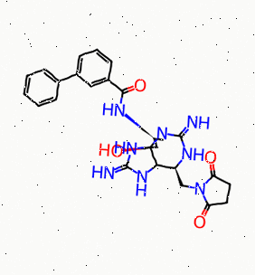 N=C1NC2[C@H](CN3C(=O)CCC3=O)NC(=N)N3C[C@H](NC(=O)c4cccc(-c5ccccc5)c4)[C@@H](O)C23N1